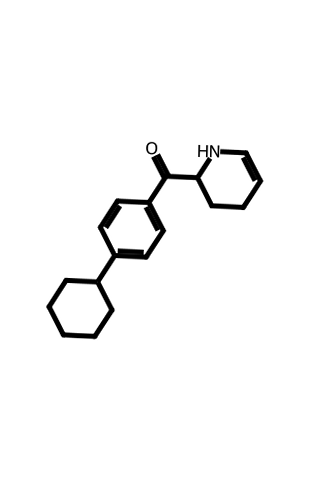 O=C(c1ccc(C2CCCCC2)cc1)C1CCC=CN1